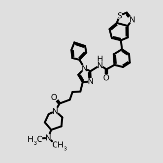 CN(C)C1CCN(C(=O)CCCc2cn(-c3ccccc3)c(NC(=O)c3cccc(-c4ccc5scnc5c4)c3)n2)CC1